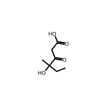 CCC(C)(O)C(=O)CC(=O)O